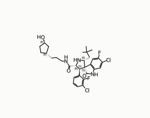 CC(C)(C)C[C@H]1N[C@@H](C(=O)NCCC[C@@H]2CC[C@@H](O)C2)[C@H](c2cccc(Cl)c2F)[C@@]12C(=O)Nc1cc(Cl)c(F)cc12